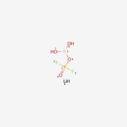 O=P(F)(F)OB(O)O.[LiH]